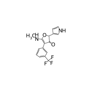 CNC1=C(c2cccc(C(F)(F)F)c2)C(=O)C(c2cc[nH]c2)O1